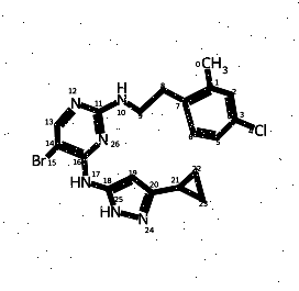 Cc1cc(Cl)ccc1CCNc1ncc(Br)c(Nc2cc(C3CC3)n[nH]2)n1